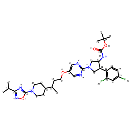 CC(C)c1noc(N2CCC(C(C)CCOc3cnc(N4CC(NC(=O)OC(C)(C)C)C(c5ccc(F)cc5F)C4)nc3)CC2)n1